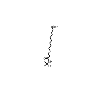 CCCCCCCCCCCCCCCCCCSCCC(=O)NC(C)(C)CC